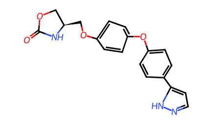 O=C1N[C@H](COc2ccc(Oc3ccc(-c4ccn[nH]4)cc3)cc2)CO1